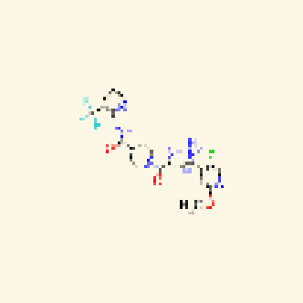 COc1cc(/C(N)=C/C(=N)C(=O)N2CCC(C(=O)NCc3ncccc3C(F)(F)F)CC2)c(Cl)cn1